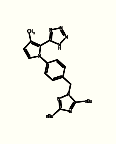 CCCCc1nc(CCCC)n(Cc2ccc(-n3ccc(C)c3-c3nnn[nH]3)cc2)n1